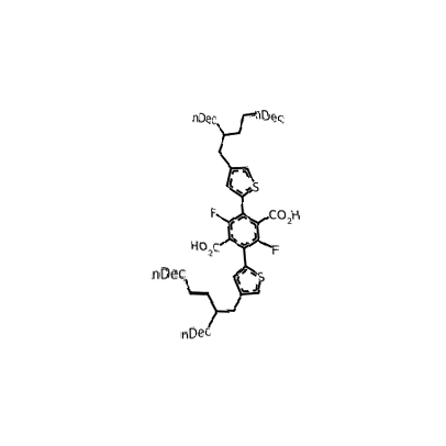 CCCCCCCCCCCCC(CCCCCCCCCC)Cc1csc(-c2c(F)c(C(=O)O)c(-c3cc(CC(CCCCCCCCCC)CCCCCCCCCCCC)cs3)c(F)c2C(=O)O)c1